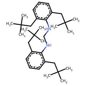 CC(C)(C)Cc1cccc(CC(C)(C)C)c1NCNc1c(CC(C)(C)C)cccc1CC(C)(C)C